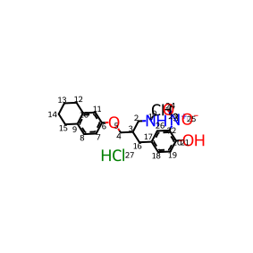 CNCC(COc1ccc2c(c1)CCCC2)Cc1ccc(O)c([N+](=O)[O-])c1.Cl